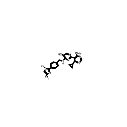 COc1ncnc(C2CC2)c1-c1ncc(O)c(NCc2ccc(-c3nc(C(F)(F)F)cn3C(C)C)cc2)n1